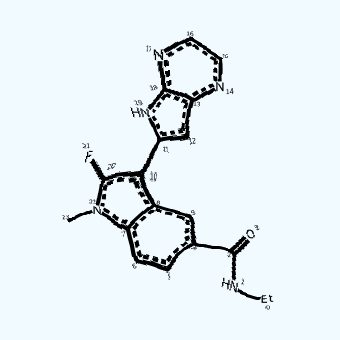 CCNC(=O)c1ccc2c(c1)c(-c1cc3nccnc3[nH]1)c(F)n2C